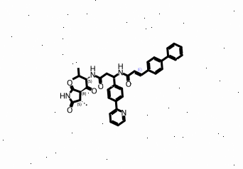 CC(C)[C@H](NC(=O)CC(NC(=O)/C=C/c1ccc(-c2ccccc2)cc1)c1ccc(-c2ccccn2)cc1)C(=O)[C@@H]1C(=O)NC(=O)[C@H]1C